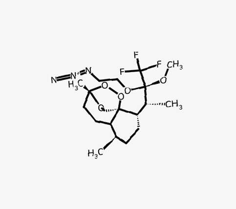 CO[C@](OCCN=[N+]=[N-])([C@H](C)[C@@H]1CC[C@@H](C)C2CC[C@@]3(C)OC[C@@]21OO3)C(F)(F)F